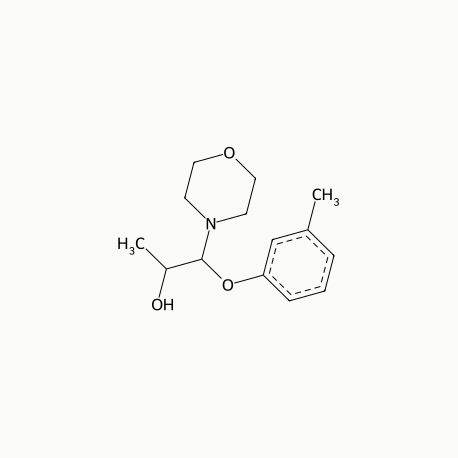 Cc1cccc(OC(C(C)O)N2CCOCC2)c1